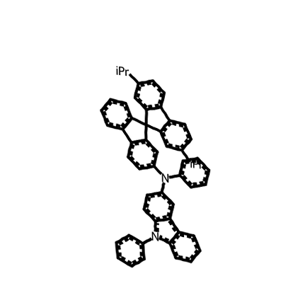 CC(C)c1ccc2c(c1)C1(c3ccccc3-c3ccc(N(c4ccccc4)c4ccc5c(c4)c4ccccc4n5-c4ccccc4)cc31)c1cc(C(C)C)ccc1-2